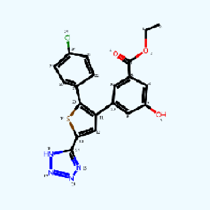 CCOC(=O)c1cc(O)cc(-c2cc(-c3nnn[nH]3)sc2-c2ccc(Cl)cc2)c1